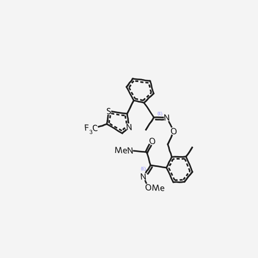 CNC(=O)/C(=N/OC)c1cccc(C)c1CO/N=C(\C)c1ccccc1-c1ncc(C(F)(F)F)s1